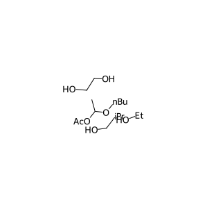 CC(C)CO.CCCCOC(C)OC(C)=O.CCO.OCCO